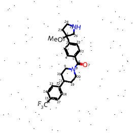 COC1(c2ccc(C(=O)N3CCC(c4ccc(C(F)(F)F)cc4)CC3)cc2)CCNC1